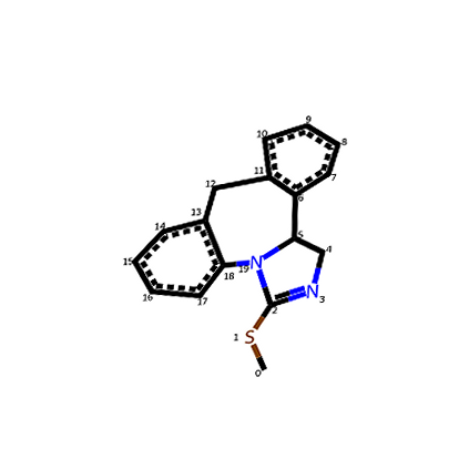 CSC1=NCC2c3ccccc3Cc3ccccc3N12